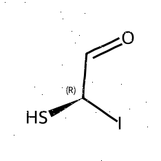 O=C[C@H](S)I